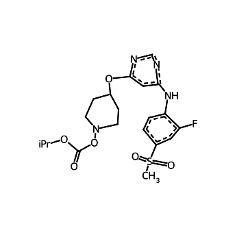 CC(C)OC(=O)ON1CCC(Oc2cc(Nc3ccc(S(C)(=O)=O)cc3F)ncn2)CC1